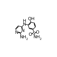 Nc1nccc(Nc2cc(S(N)(=O)=O)ccc2O)n1